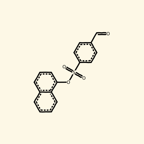 O=Cc1ccc(S(=O)(=O)Oc2cccc3ccccc23)cc1